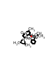 Cc1cc([C@@H](C)Nc2ccccc2C(=O)OC(C)(C)C)c2nc(N3C[C@H](C)C[C@H](C)C3)cc(=O)n2c1